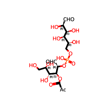 CC(=O)C(=O)O[C@@H]([C@H](O)[C@H](O)CO)[C@H](C=O)OP(=O)(O)OC[C@@H](O)[C@@H](O)[C@H](O)[C@@H](O)C=O